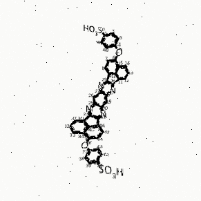 O=S(=O)(O)c1ccc(Oc2ccc3c4c(cccc24)-c2nc4cc5nc6c(nc5cc4nc2-3)-c2cccc3c(Oc4ccc(S(=O)(=O)O)cc4)ccc-6c23)cc1